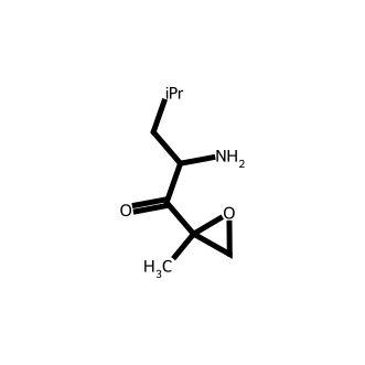 CC(C)CC(N)C(=O)C1(C)CO1